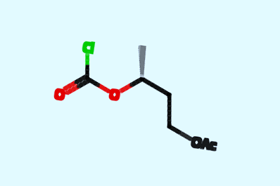 CC(=O)OCC[C@@H](C)OC(=O)Cl